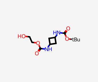 CC(C)(C)OC(=O)NC1CC(NC(=O)OCCO)C1